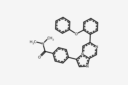 CN(C)C(=O)c1ccc(-c2cnc3cnc(-c4ccccc4Oc4ccccc4)cn23)cc1